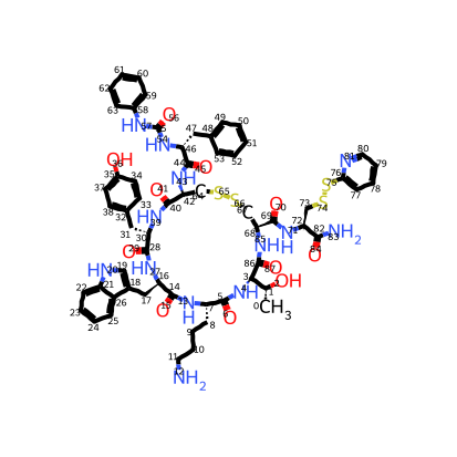 C[C@@H](O)[C@@H]1NC(=O)[C@H](CCCCN)NC(=O)[C@@H](Cc2c[nH]c3ccccc23)NC(=O)[C@H](Cc2ccc(O)cc2)NC(=O)[C@@H](NC(=O)[C@@H](Cc2ccccc2)NC(=O)Nc2ccccc2)CSSC[C@@H](C(=O)N[C@@H](CSSc2ccccn2)C(N)=O)NC1=O